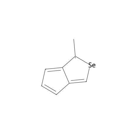 C[C]1[Se]C=C2C=CC=C12